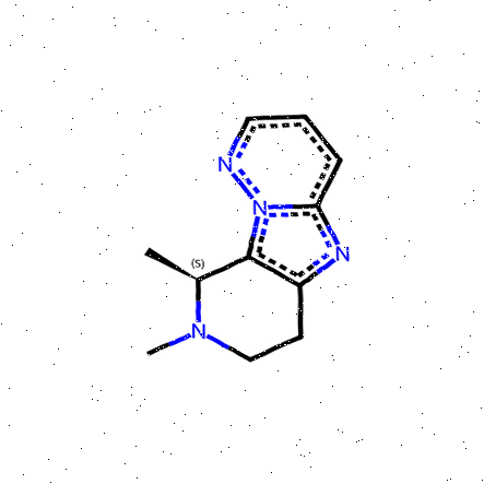 C[C@H]1c2c(nc3cccnn23)CCN1C